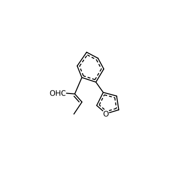 CC=C(C=O)c1ccccc1-c1ccoc1